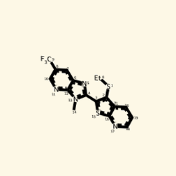 CCSc1c(-c2nc3cc(C(F)(F)F)cnc3n2C)sc2ncccc12